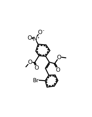 COC(=O)C(=Cc1ccccc1Br)c1ccc([N+](=O)[O-])cc1C(=O)OC